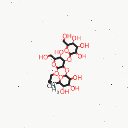 C#CCO[C@@H]1OC(CO)[C@H](O)[C@H](OC2OC(CO)[C@H](O)[C@H](O)C2O)C1O[C@@H]1OC(C)[C@@H](O)[C@H](O)C1O